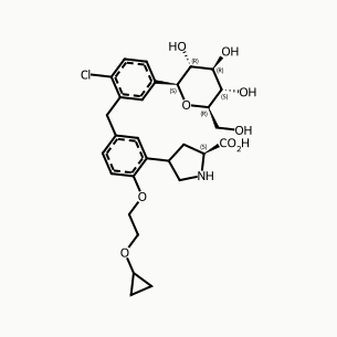 O=C(O)[C@@H]1CC(c2cc(Cc3cc([C@@H]4O[C@H](CO)[C@@H](O)[C@H](O)[C@H]4O)ccc3Cl)ccc2OCCOC2CC2)CN1